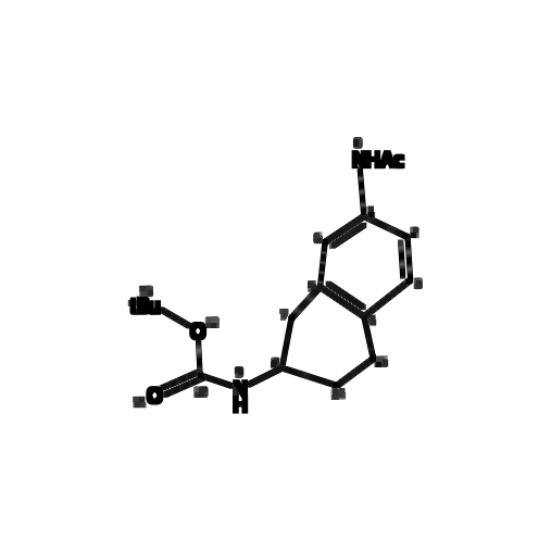 CC(=O)Nc1ccc2c(c1)CC(NC(=O)OC(C)(C)C)CC2